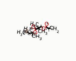 C=CC(=O)OCC(C)(C)C(=O)OC(C)(C)CSC